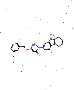 Cn1c2c(c3ccc(-n4ncc(OCc5ccccc5)cc4=O)cc31)CCCC2